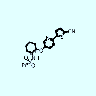 CC(C)S(=O)(=O)N[C@H]1CCCC[C@H]1Oc1ccc(-c2ccc(C#N)s2)nc1